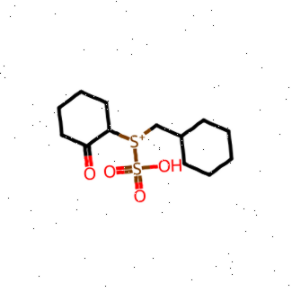 O=C1CCCCC1[S+](CC1CCCCC1)S(=O)(=O)O